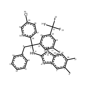 Cc1cc2nc(NC(Cc3ccccc3)(c3cc(F)cc(C(F)(F)F)c3)c3ccc(Cl)cn3)[nH]c2cc1C